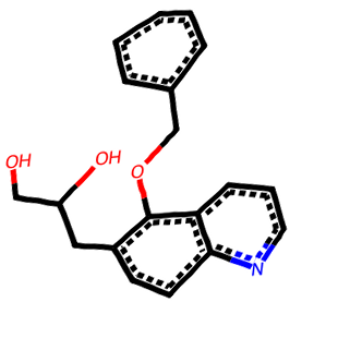 OCC(O)Cc1ccc2ncccc2c1OCc1ccccc1